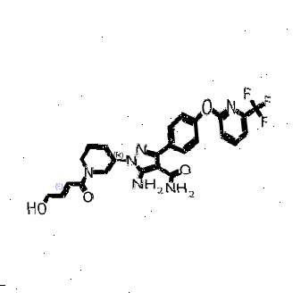 NC(=O)c1c(-c2ccc(Oc3cccc(C(F)(F)F)n3)cc2)nn([C@@H]2CCCN(C(=O)/C=C/CO)C2)c1N